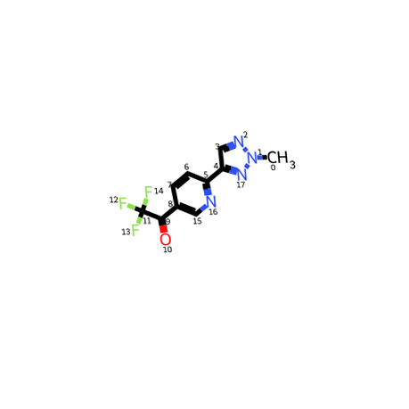 Cn1ncc(-c2ccc(C(=O)C(F)(F)F)cn2)n1